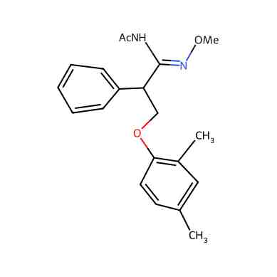 CON=C(NC(C)=O)C(COc1ccc(C)cc1C)c1ccccc1